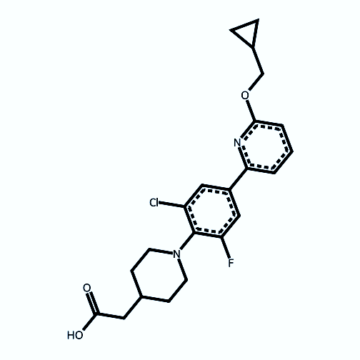 O=C(O)CC1CCN(c2c(F)cc(-c3cccc(OCC4CC4)n3)cc2Cl)CC1